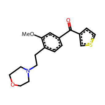 COc1cc(C(=O)c2ccsc2)ccc1CCN1CCOCC1